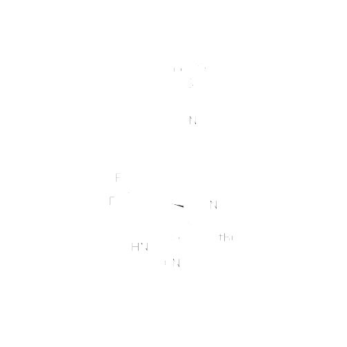 CC(C)(C)c1nc(-c2ccc(N3CCS(=O)(=O)CC3)cc2)c([C@@H]2CCC(F)(F)C[C@H]2C(=O)NC2(C#N)CC2)s1